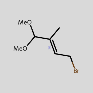 COC(OC)/C(C)=C/CBr